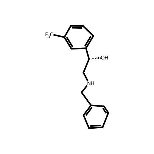 O[C@H](CNCc1ccccc1)c1cccc(C(F)(F)F)c1